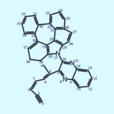 C#C/C=C\C=C(/C)c1nc2ccccc2nc1-n1c2c3c4c5c(cccc5ccc41)-c1ccccc1C3=CCC2